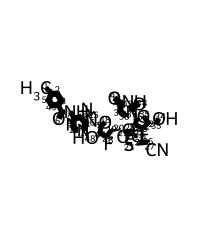 Cc1ccc(C(=O)Nc2ncnc3c2ncn3[C@@H]2O[C@H](COP(=S)(OCCC#N)OC3C(F)[C@@H](CO)O[C@H]3n3ccc(=O)[nH]c3=O)C(F)C2O)cc1